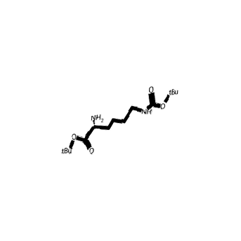 CC(C)(C)OC(=O)NCCCC[C@@H](N)C(=O)OC(C)(C)C